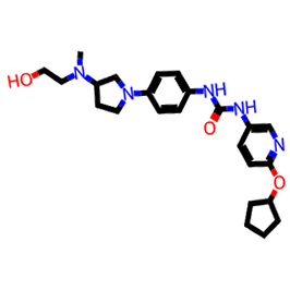 CN(CCO)C1CCN(c2ccc(NC(=O)Nc3ccc(OC4CCCC4)nc3)cc2)C1